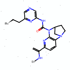 C=C(NCC)c1ccc2c(n1)N(C(=O)Nc1cncc(CC[C@H](C)CC)n1)C1CCN2C1